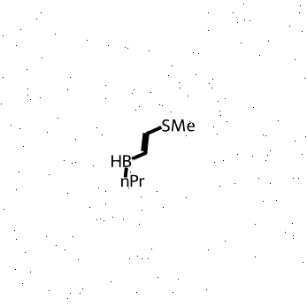 CCCBC=CSC